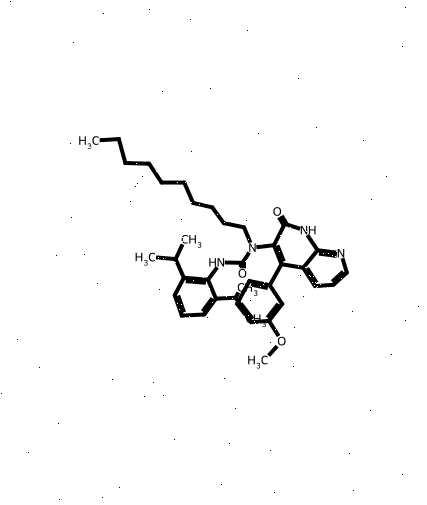 CCCCCCCCCCN(C(=O)Nc1c(C(C)C)cccc1C(C)C)c1c(-c2cccc(OC)c2)c2cccnc2[nH]c1=O